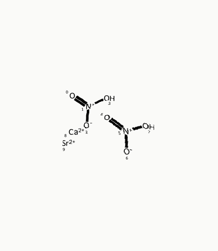 O=[N+]([O-])O.O=[N+]([O-])O.[Ca+2].[Sr+2]